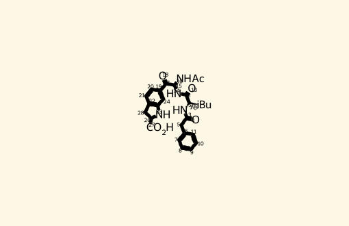 CC[C@H](C)[C@H](NC(=O)Cc1ccccc1)C(=O)NC(NC(C)=O)C(=O)c1ccc2c(c1)NC(C(=O)O)C2